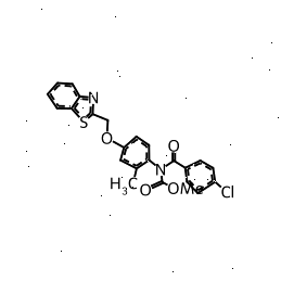 COC(=O)N(C(=O)c1ccc(Cl)cc1)c1ccc(OCc2nc3ccccc3s2)cc1C